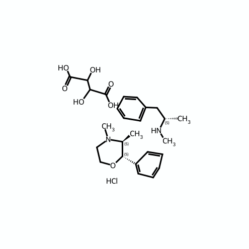 CN[C@@H](C)Cc1ccccc1.C[C@H]1[C@H](c2ccccc2)OCCN1C.Cl.O=C(O)C(O)C(O)C(=O)O